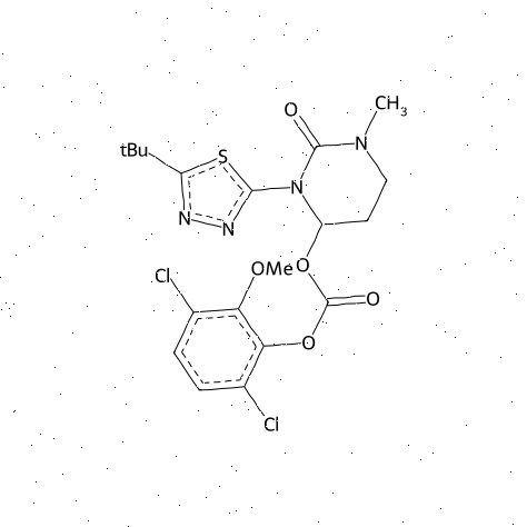 COc1c(Cl)ccc(Cl)c1OC(=O)OC1CCN(C)C(=O)N1c1nnc(C(C)(C)C)s1